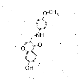 COc1ccc(NCc2coc3cc(O)ccc3c2=O)cc1